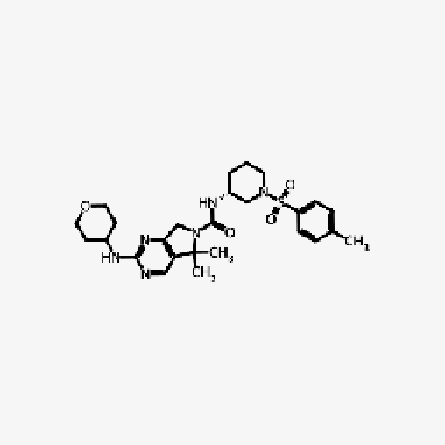 Cc1ccc(S(=O)(=O)N2CCC[C@@H](NC(=O)N3Cc4nc(NC5CCOCC5)ncc4C3(C)C)C2)cc1